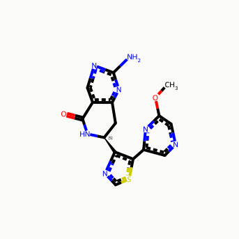 COc1cncc(-c2scnc2[C@@H]2Cc3nc(N)ncc3C(=O)N2)n1